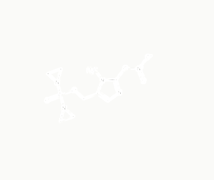 Cn1c(COP(=O)(N2CC2)N2CC2)cnc1O[N+](=O)[O-]